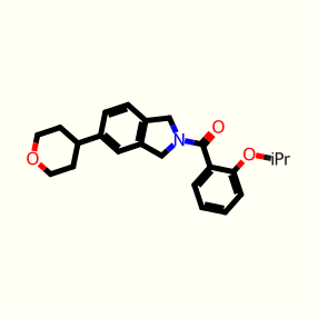 CC(C)Oc1ccccc1C(=O)N1Cc2ccc(C3CCOCC3)cc2C1